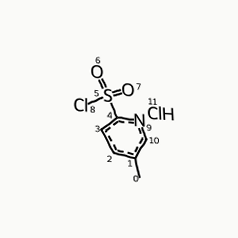 Cc1ccc(S(=O)(=O)Cl)nc1.Cl